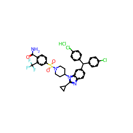 Cl.NC(=O)c1ccc(S(=O)(=O)N2CCC(n3c(C4CC4)nc4ccc(C(c5ccc(Cl)cc5)c5ccc(Cl)cc5)cc43)CC2)cc1C(F)(F)F